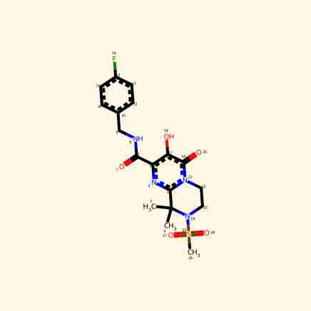 CC1(C)c2nc(C(=O)NCc3ccc(F)cc3)c(O)c(=O)n2CCN1S(C)(=O)=O